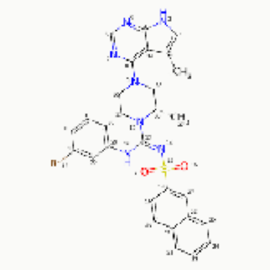 Cc1c[nH]c2ncnc(N3CCN(/C(=N/S(=O)(=O)c4ccc5ccccc5c4)Nc4cccc(Br)c4)[C@@H](C)C3)c12